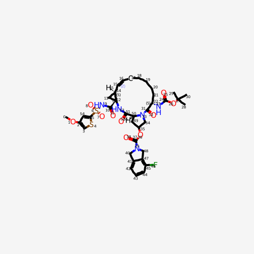 COc1csc(S(=O)(=O)NC(=O)[C@@]23C[C@H]2/C=C\CCCCC[C@H](NC(=O)OC(C)(C)C)C(=O)N2CC(OC(=O)N4Cc5cccc(F)c5C4)C[C@H]2C(=O)N3)c1